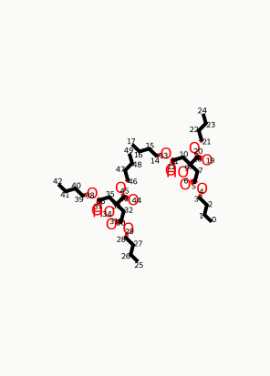 CCCCOC(=O)CC(O)(CC(=O)OCCCC)C(=O)OCCCC.CCCCOC(=O)CC(O)(CC(=O)OCCCC)C(=O)OCCCC